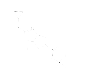 CC(C)(C)OC(=O)N1C[C@@H]2N=C(NC3CC3)S[C@@H]2C1